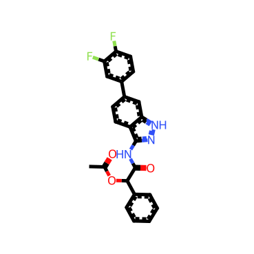 CC(=O)OC(C(=O)Nc1n[nH]c2cc(-c3ccc(F)c(F)c3)ccc12)c1ccccc1